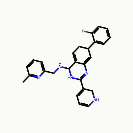 Cc1cccc(CNC2NC(C3=CC=CNC3)=NC3=CC(c4ccccc4F)CC=C32)n1